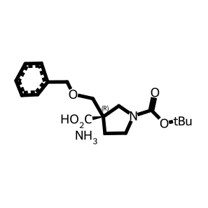 CC(C)(C)OC(=O)N1CC[C@@](COCc2ccccc2)(C(=O)O)C1.N